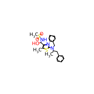 Cc1sc(N(Cc2ccccc2)C(C)Cc2ccccc2)nc1C(O)NS(C)(=O)=O